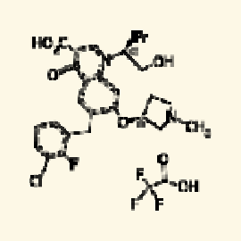 CC(C)[C@@H](CO)n1cc(C(=O)O)c(=O)c2cc(Cc3cccc(Cl)c3F)c(O[C@H]3CCN(C)C3)cc21.O=C(O)C(F)(F)F